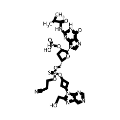 CC(C)C(=O)Nc1nc2c(ncn2[C@@H]2O[C@H](COP(=S)(OCCC#N)OC3CC(n4c(CO)nc5cncnc54)C3)C[C@H]2O[PH](=O)O)c(=O)[nH]1